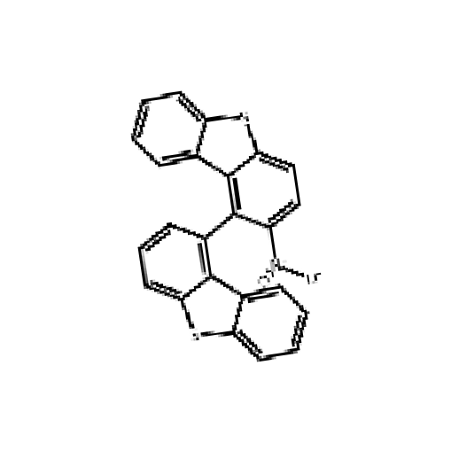 O=[N+]([O-])c1ccc2sc3ccccc3c2c1-c1cccc2sc3ccccc3c12